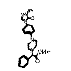 CNC(=O)C(c1ccccc1)N1CCN(c2ccc(-n3cnn(C(C)C)c3=O)cc2)CC1